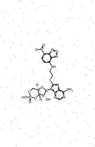 Nc1ncnc2c1nc(SCCNc1ccc([N+](=O)[O-])c3nonc13)n2[C@@H]1O[C@@H]2COP(=O)(O)O[C@H]2[C@H]1O